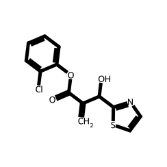 C=C(C(=O)Oc1ccccc1Cl)C(O)c1nccs1